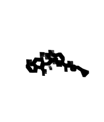 CC(=NOCC1CC1)c1ccc2nnc([C@H](C)c3c(F)cc4ncccc4c3F)n2n1